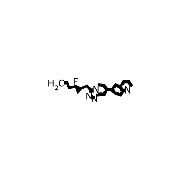 C=CCC1(F)CC1Cc1nnc2cc(-c3ccc4ncccc4c3)ccn12